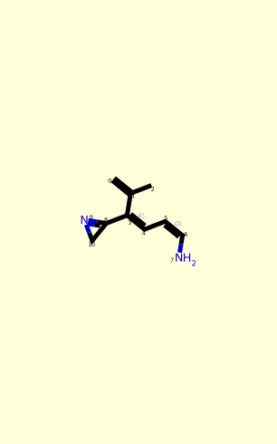 C=C(C)/C(=C\C=C/N)C1=NC1